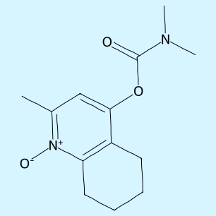 Cc1cc(OC(=O)N(C)C)c2c([n+]1[O-])CCCC2